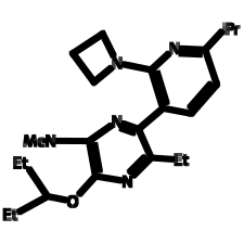 CCc1nc(OC(CC)CC)c(NC)nc1-c1ccc(C(C)C)nc1N1CCC1